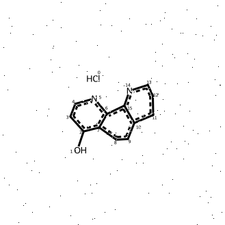 Cl.Oc1ccnc2c1ccc1cccnc12